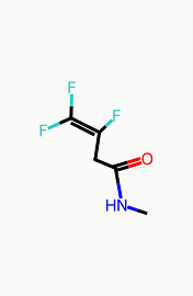 CNC(=O)CC(F)=C(F)F